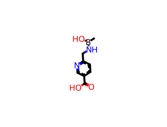 CB(O)NCc1ccc(C(=O)O)cn1